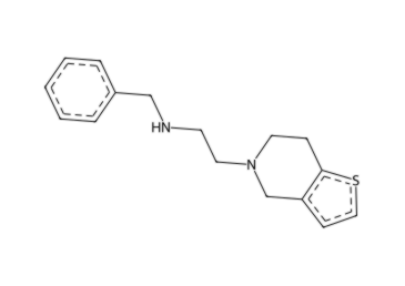 c1ccc(CNCCN2CCc3sccc3C2)cc1